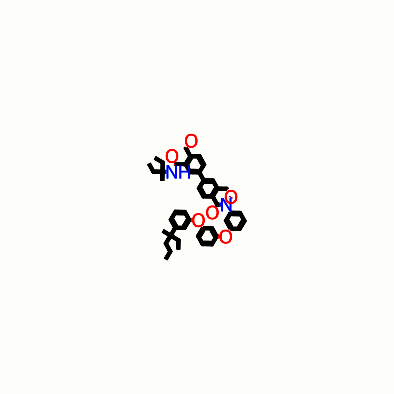 CCCC(C)(CC)c1cccc(Oc2cccc(Oc3cccc(N4OCc5cc(-c6ccc(C=O)c(C(=O)NC(C)(CC)CC)c6)ccc5C4=O)c3)c2)c1